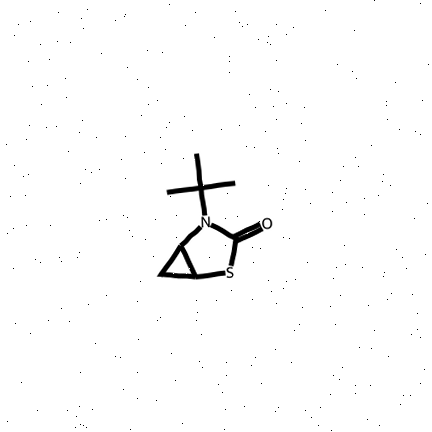 CC(C)(C)N1C(=O)SC2CC21